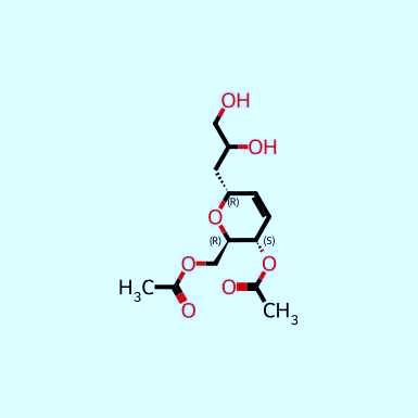 CC(=O)OC[C@H]1O[C@H](CC(O)CO)C=C[C@@H]1OC(C)=O